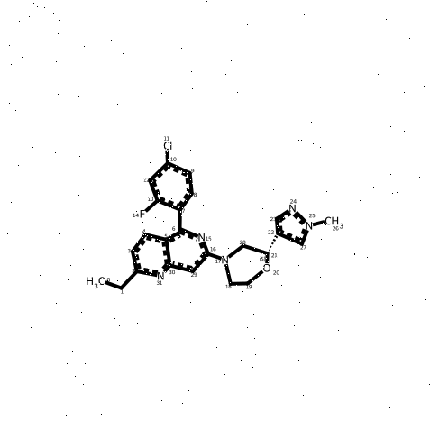 CCc1ccc2c(-c3ccc(Cl)cc3F)nc(N3CCO[C@@H](c4cnn(C)c4)C3)cc2n1